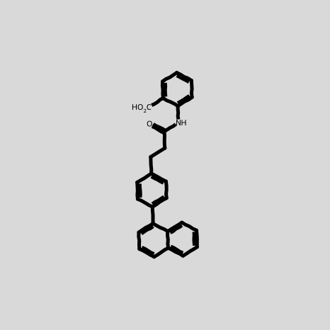 O=C(CCc1ccc(-c2cccc3ccccc23)cc1)Nc1ccccc1C(=O)O